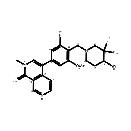 COc1cc(-c2cn(C)c(=O)c3cnccc23)cc(F)c1CN1CCC(C(C)C)C(F)(F)C1